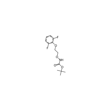 CC(C)(C)OC(=O)NOCCOc1c(F)cccc1F